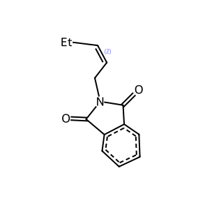 CC/C=C\CN1C(=O)c2ccccc2C1=O